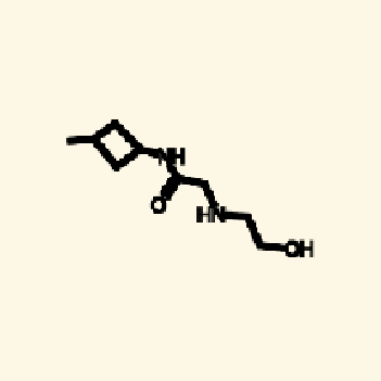 CC1CC(NC(=O)CNCCO)C1